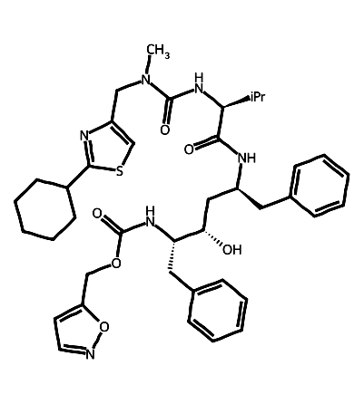 CC(C)[C@H](NC(=O)N(C)Cc1csc(C2CCCCC2)n1)C(=O)N[C@@H](Cc1ccccc1)C[C@H](O)[C@H](Cc1ccccc1)NC(=O)OCc1ccno1